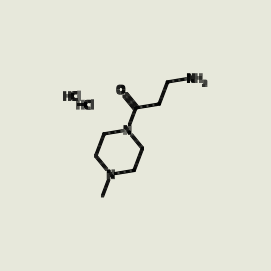 CN1CCN(C(=O)CCN)CC1.Cl.Cl